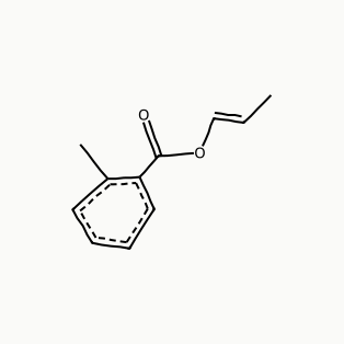 CC=COC(=O)c1ccccc1C